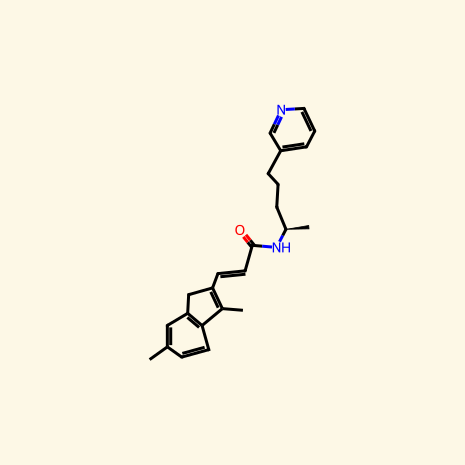 CC1=C(/C=C/C(=O)N[C@H](C)CCCc2cccnc2)Cc2cc(C)ccc21